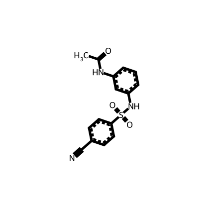 CC(=O)Nc1cccc(NS(=O)(=O)c2ccc(C#N)cc2)c1